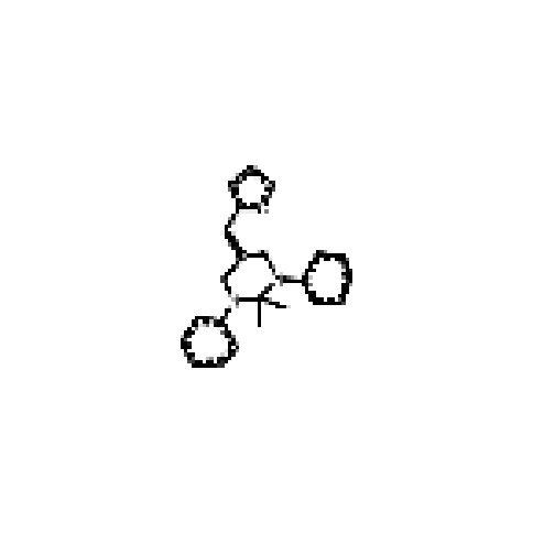 CC1(C)N(c2ccccc2)CC(=Cc2ccco2)CN1c1ccccc1